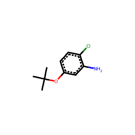 CC(C)(C)Oc1ccc(Cl)c(N)c1